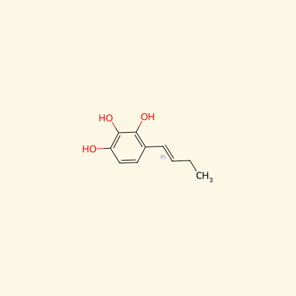 CC/C=C/c1ccc(O)c(O)c1O